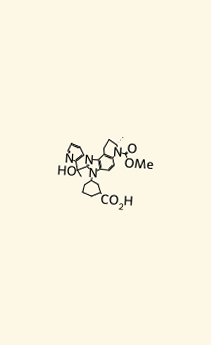 COC(=O)N1c2ccc3c(nc(C(C)(O)c4ccccn4)n3C3CCCC(C(=O)O)C3)c2CC[C@@H]1C